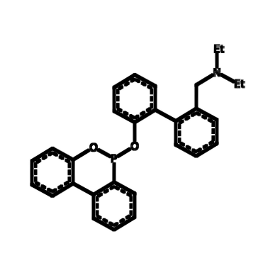 CCN(CC)Cc1ccccc1-c1ccccc1OP1Oc2ccccc2-c2ccccc21